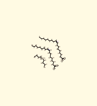 CCCCCCCC/C=C\CCCCCCCC(=O)[O-].CCCCCCCC/C=C\CCCCCCCC(=O)[O-].CCC[CH2][Sn+2][CH2]CCC